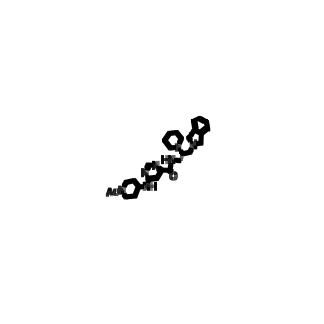 CC(=O)N1CCC(Nc2cc(C(=O)NC[C@@H](CN3Cc4ccccc4C3)N3CCCCC3)ncn2)CC1